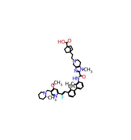 COc1cc(/C(F)=C/c2cccc(-c3cccc(NC(=O)c4nc5c(n4C)CCN(CCC46CCC(C(=O)O)(CC4)C6)C5)c3C)c2C)ncc1CN1CCCC[C@H]1C